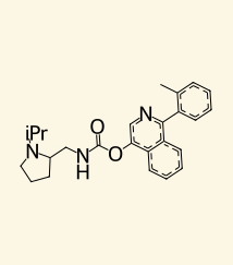 Cc1ccccc1-c1ncc(OC(=O)NCC2CCCN2C(C)C)c2ccccc12